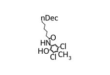 CCCCCCCCCCCCCCCC(=O)Nc1cc(Cl)c(C)c(Cl)c1O